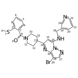 CSc1ccccc1C(=O)N1CCC(c2cc(NCc3cccnc3)n3ncc(Br)c3n2)CC1